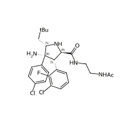 CC(=O)NCCNC(=O)[C@@H]1N[C@@H](CC(C)(C)C)[C@](N)(c2ccc(Cl)cc2)[C@H]1c1cccc(Cl)c1F